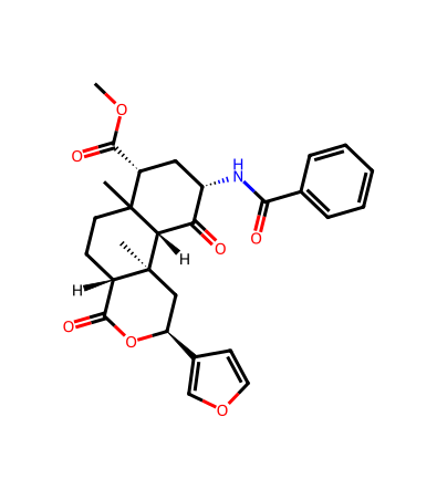 COC(=O)[C@@H]1C[C@H](NC(=O)c2ccccc2)C(=O)[C@H]2C1(C)CC[C@H]1C(=O)O[C@H](c3ccoc3)C[C@@]12C